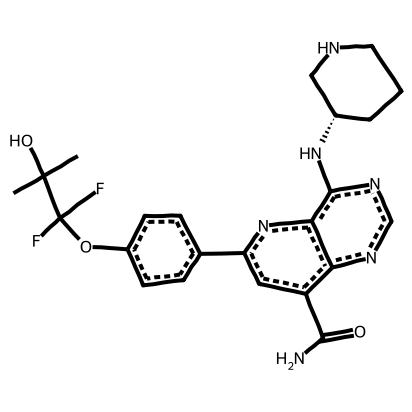 CC(C)(O)C(F)(F)Oc1ccc(-c2cc(C(N)=O)c3ncnc(N[C@H]4CCCNC4)c3n2)cc1